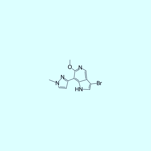 COc1ncc2c(Br)c[nH]c2c1-c1ccn(C)n1